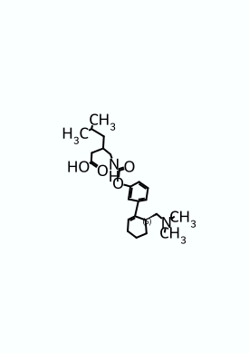 CC(C)CC(CNC(=O)Oc1cccc(C2=CCCC[C@@H]2CN(C)C)c1)CC(=O)O